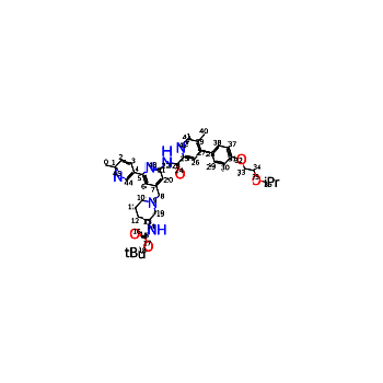 Cc1ccc(-c2cc(CN3CCC[C@H](NC(=O)OC(C)(C)C)C3)cc(NC(=O)c3cc(-c4ccc(OCCOC(C)C)cc4)c(C)cn3)n2)cn1